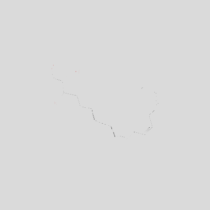 CCCCC/C=C\C/C=C\C/C=C\CCCCCC(O)C(O)CO